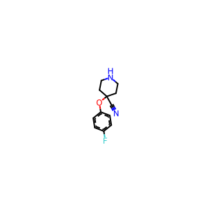 N#CC1(Oc2ccc(F)cc2)CCNCC1